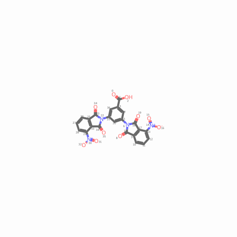 O=C(O)c1cc(N2C(=O)c3cccc([N+](=O)[O-])c3C2=O)cc(N2C(=O)c3cccc([N+](=O)[O-])c3C2=O)c1